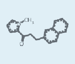 Cn1cccc1C(=O)CCc1ccc2ccccc2c1